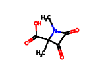 CN1C(=O)C(=O)C1(C)C(=O)O